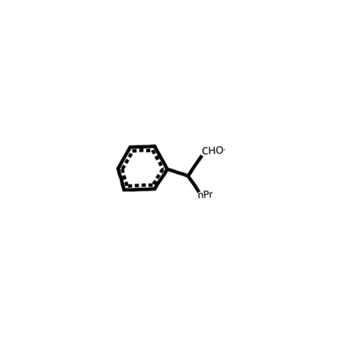 CCCC([C]=O)c1ccccc1